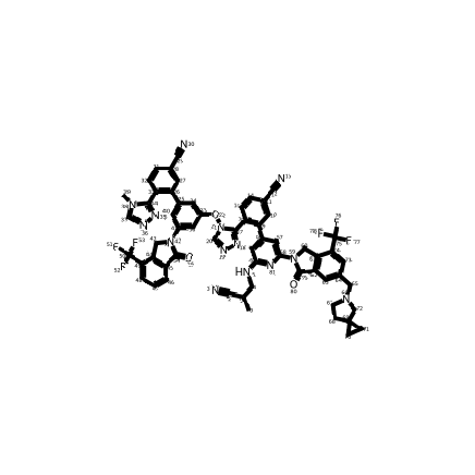 CC(C#N)CNc1cc(-c2cc(C#N)ccc2-c2nncn2Oc2cc(-c3cc(C#N)ccc3-c3nncn3C)cc(N3Cc4c(cccc4C(F)(F)F)C3=O)c2)cc(N2Cc3c(cc(CN4CCC5(CC5)C4)cc3C(F)(F)F)C2=O)n1